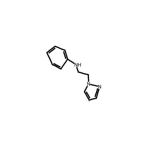 [c]1cnn(CCNc2ccccc2)c1